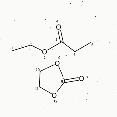 CCOC(=O)CC.O=C1OCCO1